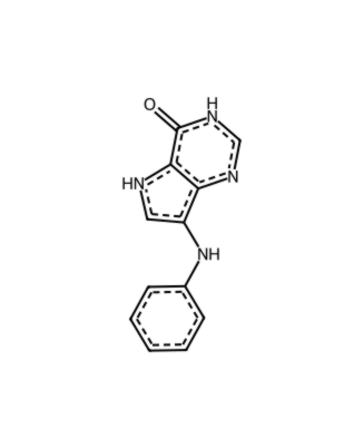 O=c1[nH]cnc2c(Nc3ccccc3)c[nH]c12